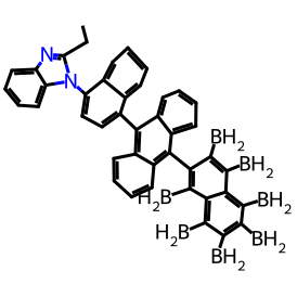 Bc1c(B)c(B)c2c(B)c(-c3c4ccccc4c(-c4ccc(-n5c(CC)nc6ccccc65)c5ccccc45)c4ccccc34)c(B)c(B)c2c1B